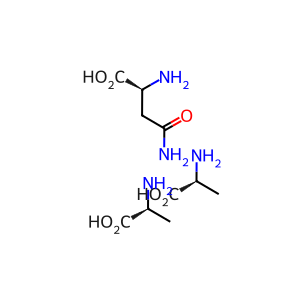 C[C@H](N)C(=O)O.C[C@H](N)C(=O)O.NC(=O)C[C@H](N)C(=O)O